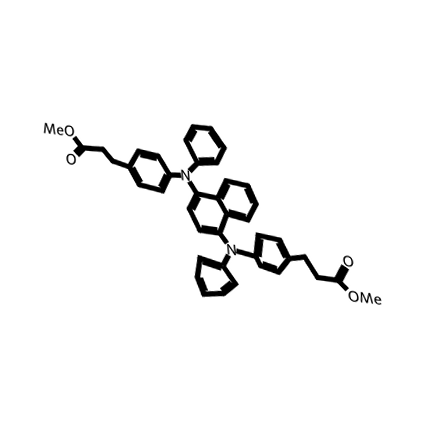 COC(=O)CCc1ccc(N(c2ccccc2)c2ccc(N(c3ccccc3)c3ccc(CCC(=O)OC)cc3)c3ccccc23)cc1